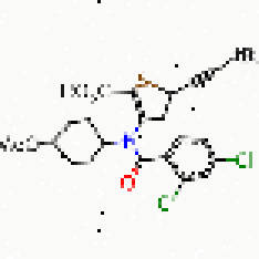 COC1CCC(N(C(=O)c2ccc(Cl)cc2Cl)C2=C(C(=O)O)SC(C#CC(C)(C)C)C2)CC1